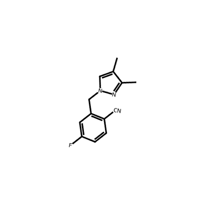 Cc1cn(Cc2cc(F)ccc2C#N)nc1C